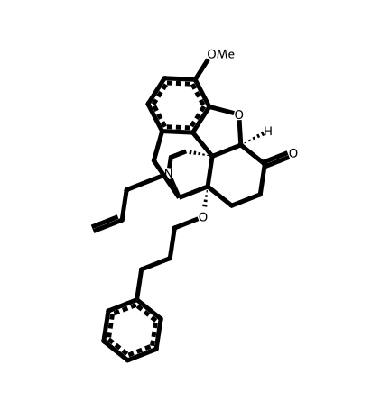 C=CCN1CC[C@]23c4c5ccc(OC)c4O[C@H]2C(=O)CC[C@@]3(OCCCc2ccccc2)C1C5